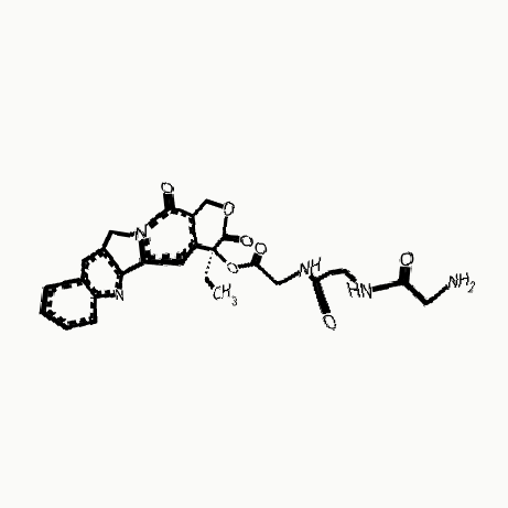 CC[C@@]1(OC(=O)CNC(=O)CNC(=O)CN)C(=O)OCc2c1cc1n(c2=O)Cc2cc3ccccc3nc2-1